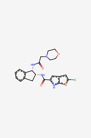 O=C(CN1CCOCC1)N[C@H]1c2ccccc2C[C@H]1NC(=O)c1cc2cc(Cl)sc2[nH]1